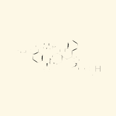 COc1cc(C(=O)N2CCC3(CC2)CC(O[C@@H](C)C(=O)O)c2ccccc2O3)ccc1OC(C)C